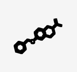 C=C(C)C1CCc2cc(OCc3ccccc3)ccc2C1